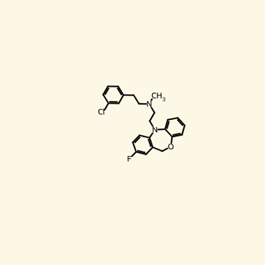 CN(CCc1cccc(Cl)c1)CCN1c2ccc(F)cc2COc2ccccc21